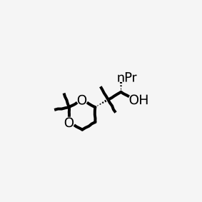 CCC[C@H](O)C(C)(C)[C@@H]1CCOC(C)(C)O1